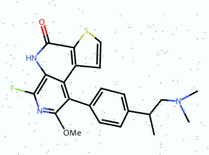 COc1nc(F)c2[nH]c(=O)c3sccc3c2c1-c1ccc(C(C)CN(C)C)cc1